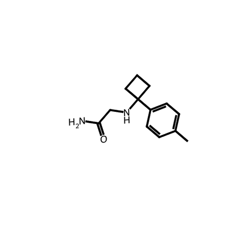 Cc1ccc(C2(NCC(N)=O)CCC2)cc1